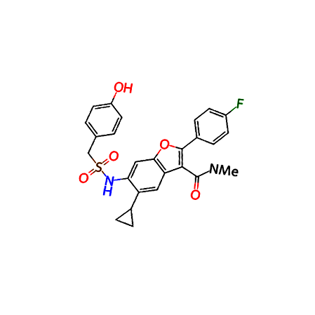 CNC(=O)c1c(-c2ccc(F)cc2)oc2cc(NS(=O)(=O)Cc3ccc(O)cc3)c(C3CC3)cc12